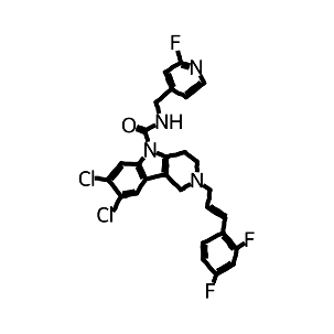 O=C(NCc1ccnc(F)c1)n1c2c(c3cc(Cl)c(Cl)cc31)CN(CC=Cc1ccc(F)cc1F)CC2